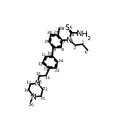 CCCN(C(N)=S)c1cc(-c2ccc(CCN3CCN(C)CC3)cc2)ccc1C